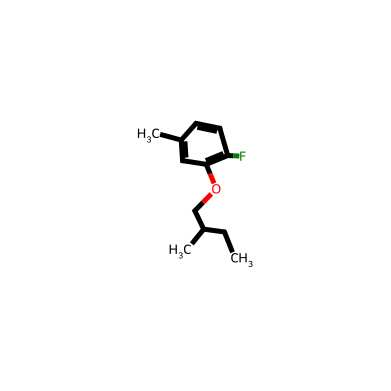 CCC(C)COc1cc(C)ccc1F